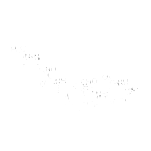 Cn1ccc(NC(=O)NCC2CCC3CN(C4CCC(=O)NC4=O)CC3(C=O)C2)n1